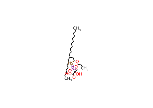 CCCCCCCCCCCC(CCCCCCCC)CC(S)OC(CC)OCC(O)([PH2]=O)C(=O)O